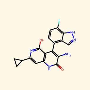 Nc1c(-c2ccc(F)c3[nH]ncc23)c2c(O)nc(C3CC3)cc2[nH]c1=O